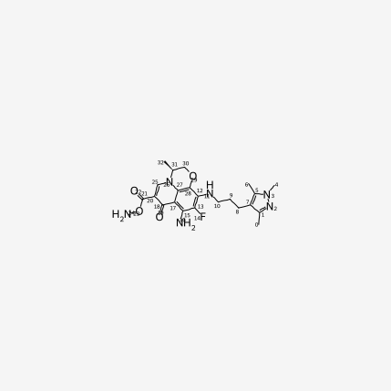 Cc1nn(C)c(C)c1CCCNc1c(F)c(N)c2c(=O)c(C(=O)ON)cn3c2c1OC[C@@H]3C